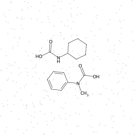 CN(C(=O)O)c1ccccc1.O=C(O)NC1CCCCC1